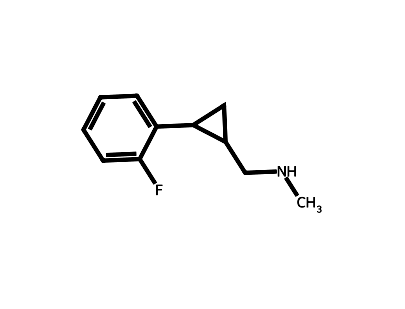 CNCC1CC1c1ccccc1F